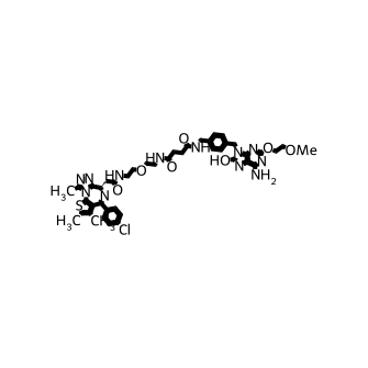 COCCOc1nc(N)c2nc(O)n(Cc3ccc(CNC(=O)CCC(=O)NCCOCCNC(=O)C[C@@H]4N=C(c5ccc(Cl)cc5)c5c(sc(C)c5C)-n5c(C)nnc54)cc3)c2n1